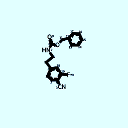 N#Cc1ccc(CCNC(=O)OCc2ccccc2)cc1F